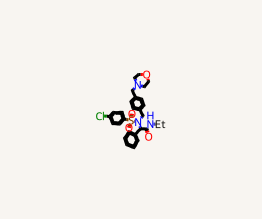 CCNC(=O)C(c1ccccc1)N(Cc1ccc(CN2CCOCC2)cc1)S(=O)(=O)c1ccc(Cl)cc1